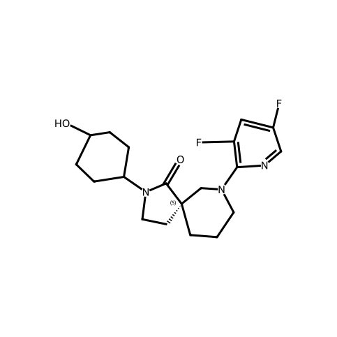 O=C1N(C2CCC(O)CC2)CC[C@]12CCCN(c1ncc(F)cc1F)C2